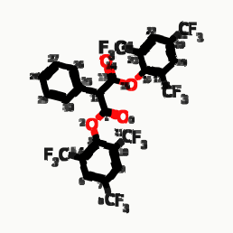 O=C(Oc1c(C(F)(F)F)cc(C(F)(F)F)cc1C(F)(F)F)C(C(=O)Oc1c(C(F)(F)F)cc(C(F)(F)F)cc1C(F)(F)F)c1ccccc1